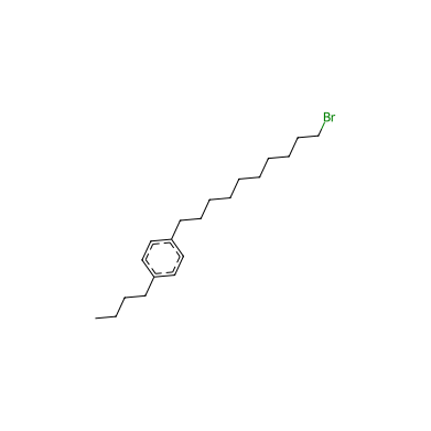 CCCCc1ccc(CCCCCCCCCCBr)cc1